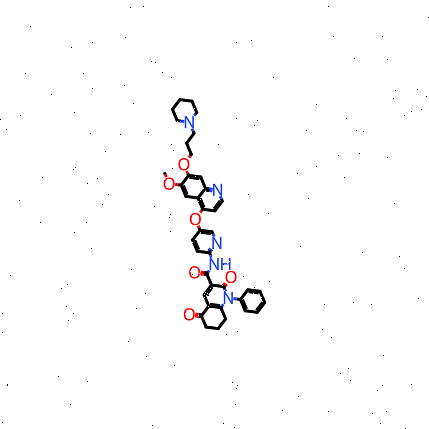 COc1cc2c(Oc3ccc(NC(=O)c4cc5c(n(-c6ccccc6)c4=O)CCCC5=O)nc3)ccnc2cc1OCCCN1CCCCC1